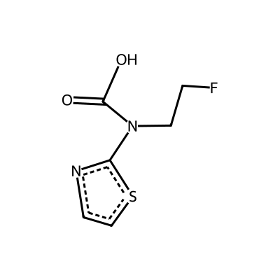 O=C(O)N(CCF)c1nccs1